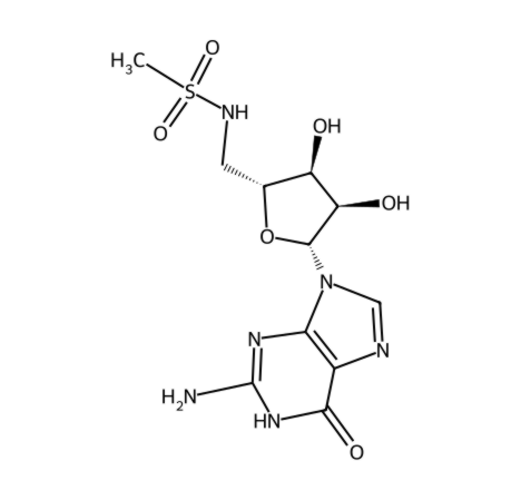 CS(=O)(=O)NC[C@H]1O[C@@H](n2cnc3c(=O)[nH]c(N)nc32)[C@H](O)[C@@H]1O